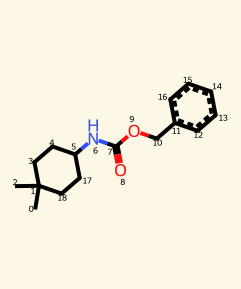 CC1(C)CCC(NC(=O)OCc2ccccc2)CC1